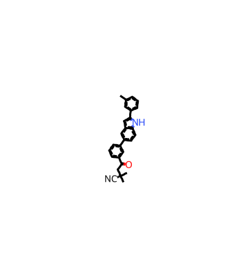 Cc1cccc(-c2cc3cc(-c4cccc(C(=O)CC(C)(C)C#N)c4)ccc3[nH]2)c1